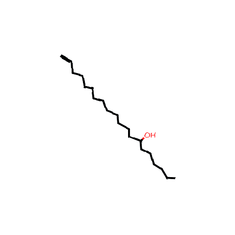 C=CCCCCCCCCCCCC(O)CCCCCC